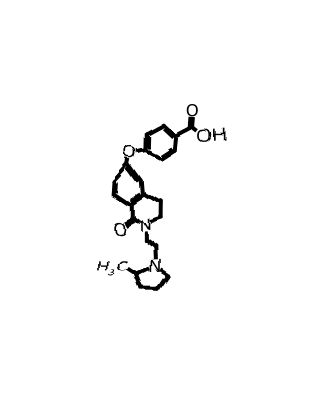 CC1CCCN1CCN1CCc2cc(Oc3ccc(C(=O)O)cc3)ccc2C1=O